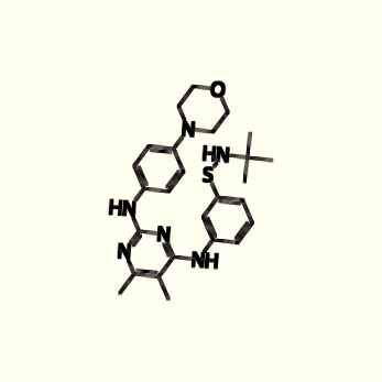 Cc1nc(Nc2ccc(N3CCOCC3)cc2)nc(Nc2cccc(SNC(C)(C)C)c2)c1C